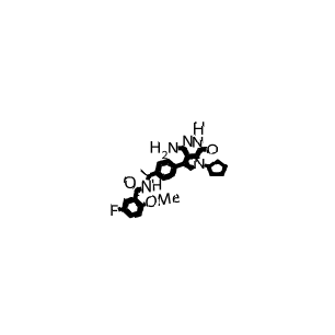 COc1ccc(F)cc1C(=O)N[C@@H](C)c1ccc(-c2cn(C3CCCC3)c3c(=O)[nH]nc(N)c23)cc1